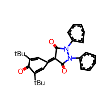 CC(C)(C)C1=CC(=C2C(=O)N(c3ccccc3)N(c3ccccc3)C2=O)C=C(C(C)(C)C)C1=O